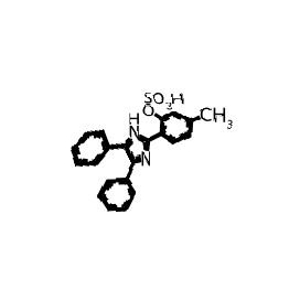 Cc1ccc(-c2nc(-c3ccccc3)c(-c3ccccc3)[nH]2)c(OS(=O)(=O)O)c1